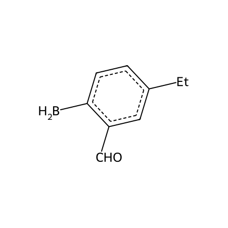 Bc1ccc(CC)cc1C=O